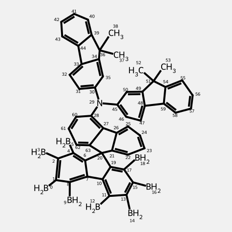 Bc1c(B)c(B)c2c(c1B)-c1c(B)c(B)c(B)c(B)c1C21c2ccccc2-c2c(N(c3ccc4c(c3)C(C)(C)c3ccccc3-4)c3ccc4c(c3)C(C)(C)c3ccccc3-4)cccc21